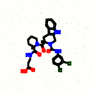 O=C(O)CCNC(=O)[C@@H]1CCCCN1C(=O)[C@H]1Cc2c([nH]c3ccccc23)CN1C(=O)Nc1ccc(Cl)c(Cl)c1